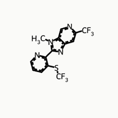 Cn1c(-c2ncccc2SC(F)(F)F)nc2cc(C(F)(F)F)ncc21